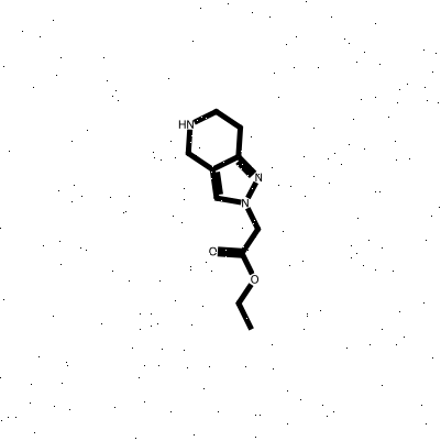 CCOC(=O)Cn1cc2c(n1)CCNC2